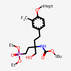 CCCCCCCOc1ccc(CCC(CO)(CCP(=O)(OCC)OCC)NC(=O)OC(C)(C)C)cc1C(F)(F)F